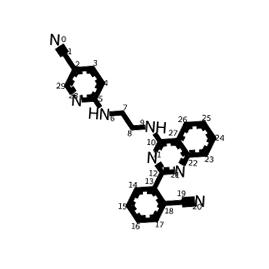 N#Cc1ccc(NCCNc2nc(-c3ccccc3C#N)nc3ccccc23)nc1